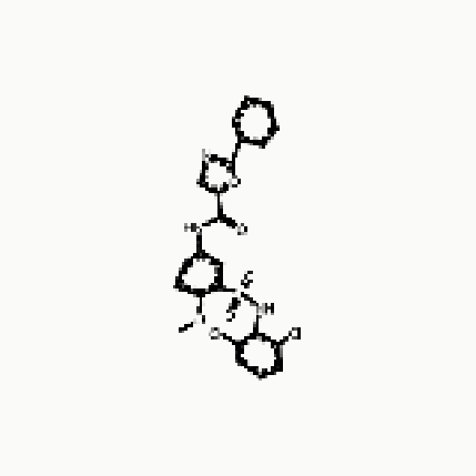 COc1ccc(NC(=O)c2cnc(-c3ccccc3)o2)cc1S(=O)(=O)Nc1c(Cl)cccc1Cl